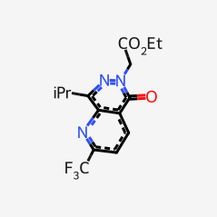 CCOC(=O)Cn1nc(C(C)C)c2nc(C(F)(F)F)ccc2c1=O